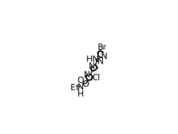 CCNC(=O)Oc1cnc(-c2ccc(-c3nc4ncc(Br)cc4[nH]3)nc2)c(Cl)c1